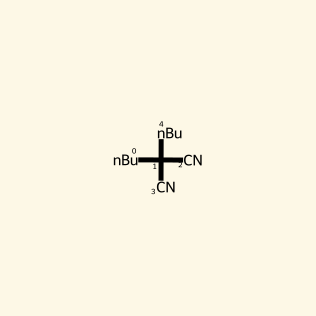 CCCCC(C#N)(C#N)CCCC